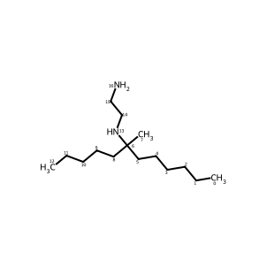 CCCCCCC(C)(CCCCC)NCCN